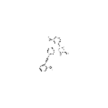 COc1cccc([C@H]2OC(=O)N[C@@H]2c2cccc(C#Cc3ccccc3OC)c2)c1